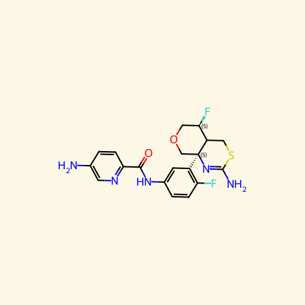 NC1=N[C@@]2(c3cc(NC(=O)c4ccc(N)cn4)ccc3F)COC[C@@H](F)C2CS1